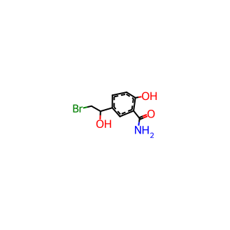 NC(=O)c1cc(C(O)CBr)ccc1O